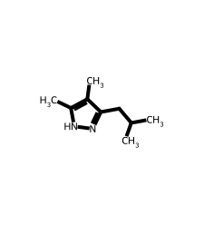 Cc1[nH]nc(CC(C)C)c1C